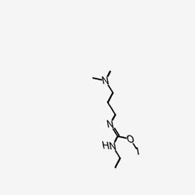 CCN/C(=N/CCCN(C)C)OI